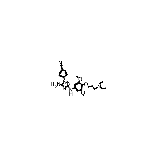 CCN(CC)CCCOc1c(OC)cc(Nc2nc(N)n(-c3ccc(C#N)cc3)n2)cc1OC